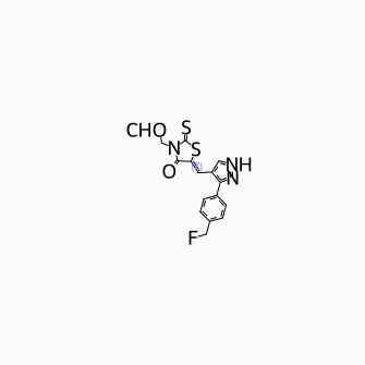 O=CCN1C(=O)/C(=C/c2c[nH]nc2-c2ccc(CF)cc2)SC1=S